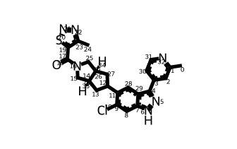 Cc1cc(-c2n[nH]c3cc(Cl)c(C4C[C@@H]5CN(C(=O)c6snnc6C)C[C@@H]5C4)cc23)ccn1